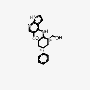 CCOC(=O)c1cnc2[nH]ccc2c1NC1CC[C@@H](c2ccccc2)C[C@@H]1CO